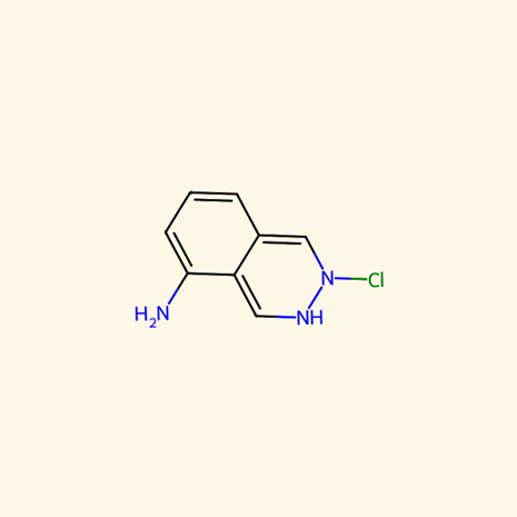 Nc1cccc2c1=CNN(Cl)C=2